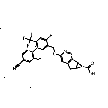 N#Cc1ccc(-c2cc(COc3cc4c(cn3)C3C(C4)C3C(=O)O)c(F)cc2C(F)(F)F)c(F)c1